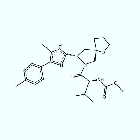 COC(=O)N[C@H](C(=O)N1C[C@]2(CCCO2)C[C@H]1c1nc(-c2ccc(C)cc2)c(C)[nH]1)C(C)C